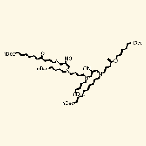 C=C(CCCN(CCCCCCCCCCCCCCCCCCC)CC(CN(CCCCCCCCCCCCCC)CCCCN(CCCCCCCCCCCCCC)CC(CNCCCC(=O)CCCCCCCCCCCCCCCC)N=O)N=O)OCCCCCCCCCCCCCCC